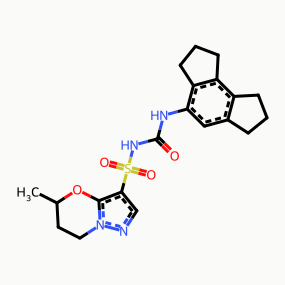 CC1CCn2ncc(S(=O)(=O)NC(=O)Nc3cc4c(c5c3CCC5)CCC4)c2O1